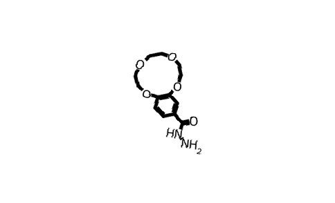 NNC(=O)c1ccc2c(c1)OCCOCCOCCO2